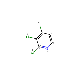 Fc1ccnc(Cl)c1Cl